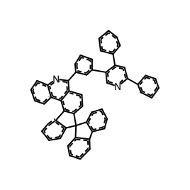 c1ccc(-c2cc(-c3ccccc3)c(-c3cccc(-c4nc5ccccc5c5c6c(ccc45)C4(c5ccccc5-c5ccccc54)c4ccccc4-6)c3)cn2)cc1